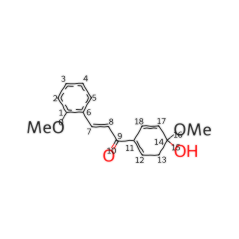 COc1ccccc1C=CC(=O)C1=CCC(O)(OC)C=C1